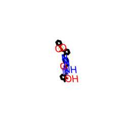 Cc1cccc(/C=N/NC(=O)CN2CCN(Cc3ccccc3CS(=O)(=O)c3ccccc3)CC2)c1O